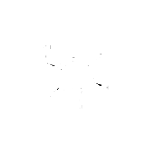 OC[C@H]1O[C](O)[C@@H](O)[C@H](O)[C@H]1O